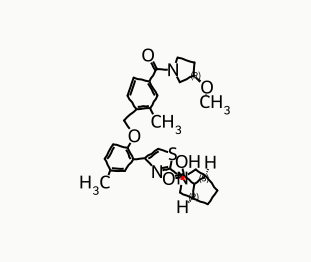 CO[C@@H]1CCN(C(=O)c2ccc(COc3ccc(C)cc3-c3csc(N4C[C@H]5CC[C@@H](C4)C5C(=O)O)n3)c(C)c2)C1